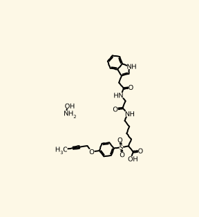 CC#CCOc1ccc(S(=O)(=O)C(CCCCNC(=O)CNC(=O)Cc2c[nH]c3ccccc23)C(=O)O)cc1.NO